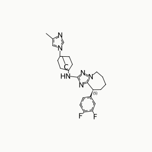 Cc1cn(C23CCC(Nc4nc5n(n4)CCCC[C@H]5c4ccc(F)c(F)c4)(CC2)CC3)cn1